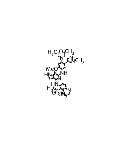 COc1cc(N2C[C@@H](C)O[C@@H](C)C2)c(-c2cnn(C)c2)cc1Nc1nc(Nc2ccc3nccnc3c2P(C)(C)=O)c2cc[nH]c2n1